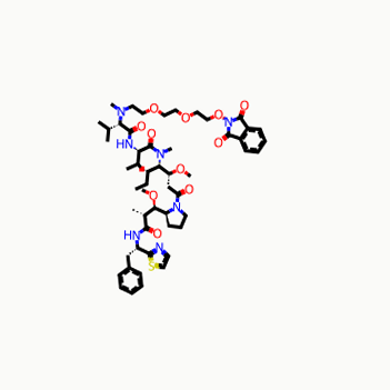 CC[C@H](C)[C@@H]([C@@H](CC(=O)N1CCC[C@H]1[C@H](OC)[C@@H](C)C(=O)N[C@@H](Cc1ccccc1)c1nccs1)OC)N(C)C(=O)[C@@H](NC(=O)[C@H](C(C)C)N(C)CCOCCOCCON1C(=O)c2ccccc2C1=O)C(C)C